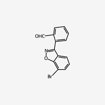 O=Cc1ccccc1-c1noc2c(Br)cccc12